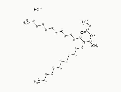 C=CC(=O)OC(C)N(CCCCCCCCCCCC)CCCCCCCCCCCC.Cl